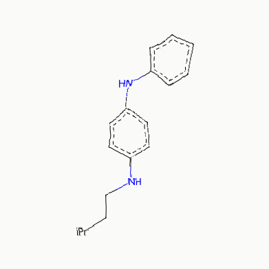 CC(C)CCNc1ccc(Nc2ccccc2)cc1